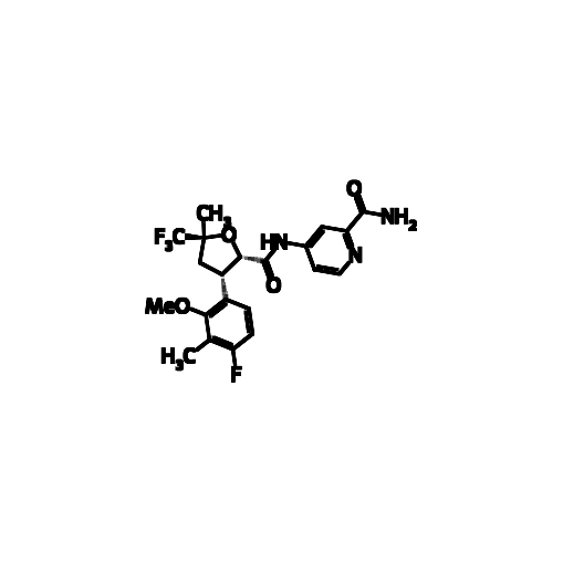 COc1c([C@@H]2C[C@@](C)(C(F)(F)F)O[C@@H]2C(=O)Nc2ccnc(C(N)=O)c2)ccc(F)c1C